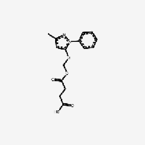 Cc1cc(OCOC(=O)CCC(=O)O)n(-c2ccccc2)n1